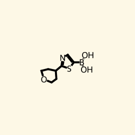 OB(O)c1cnc(C2CCOCC2)s1